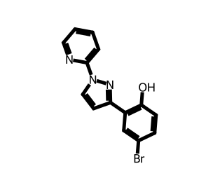 Oc1ccc(Br)cc1-c1ccn(-c2ccccn2)n1